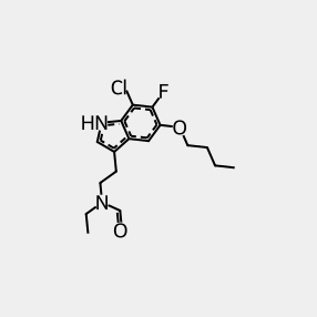 CCCCOc1cc2c(CCN(C=O)CC)c[nH]c2c(Cl)c1F